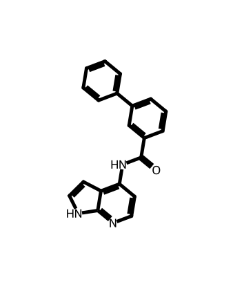 O=C(Nc1ccnc2[nH]ccc12)c1cccc(-c2ccccc2)c1